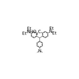 CCN(CC)c1ccc(C(c2ccc(N(C)C)cc2)c2ccc(N(CC)CC)cc2C(=O)O)cc1